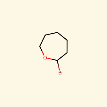 BrC1CCCCCO1